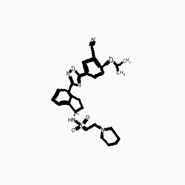 CC(C)Oc1ccc(-c2nc(-c3cccc4c3CC[C@@H]4NS(=O)(=O)CCN3CCCCC3)no2)cc1C#N